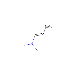 CNC=CN(C)C